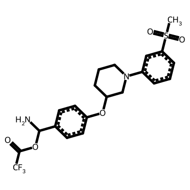 CS(=O)(=O)c1cccc(N2CCCC(Oc3ccc(C(N)OC(=O)C(F)(F)F)cc3)C2)c1